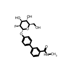 CNC(=O)c1cccc(-c2ccc(O[C@H]3O[C@H](CO)[C@@H](O)[C@H](O)[C@@H]3F)cc2)c1